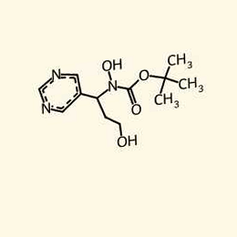 CC(C)(C)OC(=O)N(O)C(CCO)c1cncnc1